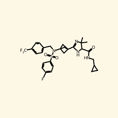 CC1(C)N=C(C23CC(N(Cc4ccc(C(F)(F)F)cc4)S(=O)(=O)c4ccc(F)cc4)(C2)C3)NC1C(=O)NCC1CC1